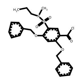 CCCN(C)S(=O)(=O)c1cc(C(=O)Cl)c(OCc2ccccc2)cc1OCc1ccccc1